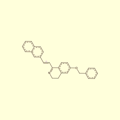 C(=C\c1ccc2ccccc2c1)/C1=NCCc2cc(OCc3ccccc3)ccc21